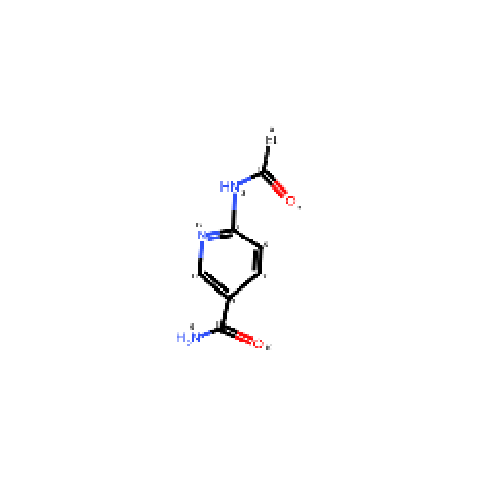 CCC(=O)Nc1ccc(C(N)=O)cn1